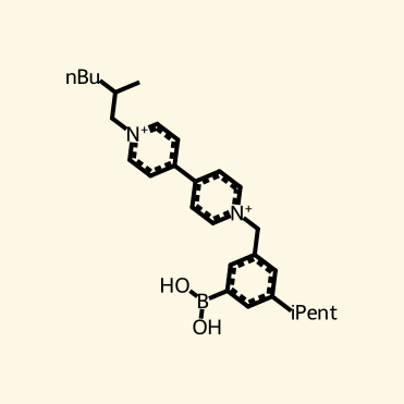 CCCCC(C)C[n+]1ccc(-c2cc[n+](Cc3cc(B(O)O)cc(C(C)CCC)c3)cc2)cc1